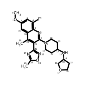 COc1cc(F)c2nc(N3CCC(N[C@H]4CCOC4)CC3)c(-c3noc(C)n3)c(C)c2c1